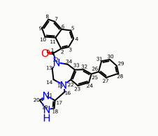 O=C(c1cccc2ccccc12)N1CCN(Cc2c[nH]cn2)c2ccc(-c3ccccc3)cc2C1